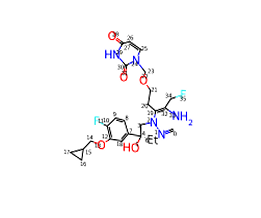 C=NN(C[C@](O)(CC)c1ccc(F)c(OCC2CC2)c1)/C(CCOCn1ccc(=O)[nH]c1=O)=C(\N)CF